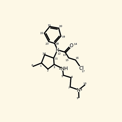 CC1CC(NCCCN(C)C)C(N(C(=O)CCCl)c2ccccc2)C1